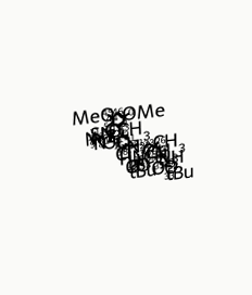 COc1ccc(CN(c2ncns2)S(=O)(=O)c2cc(Cl)c(NC[C@H](CC(C)(C)CCNC(=O)OC(C)(C)C)[C@@H](C)NC(=O)OC(C)(C)C)cc2C)c(OC)c1